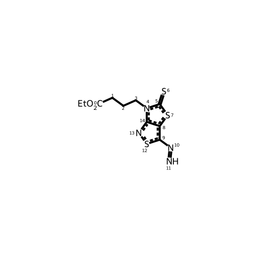 CCOC(=O)CCCn1c(=S)sc2c(N=N)snc21